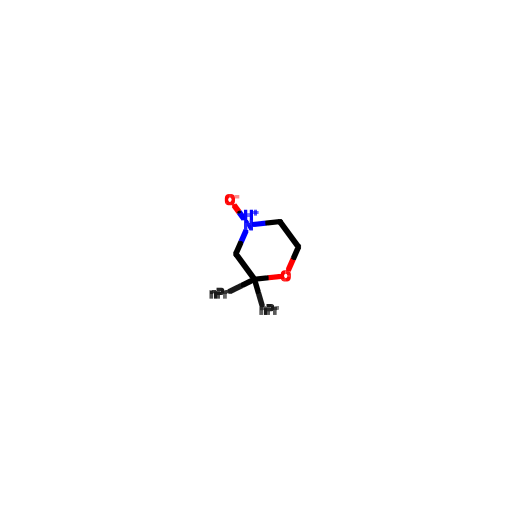 CCCC1(CCC)C[NH+]([O-])CCO1